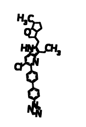 CCc1c(CC2COC3C(C)CCC23)[nH]c2cc(Cl)c(-c3ccc(-c4ccc(-n5cncn5)cc4)cc3)nc12